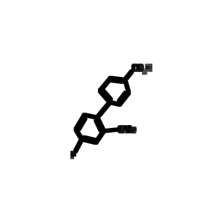 COc1cc(F)ccc1-c1ccc(C(=O)O)cc1